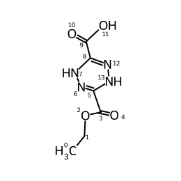 CCOC(=O)C1=NNC(C(=O)O)=NN1